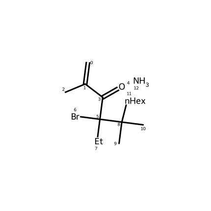 C=C(C)C(=O)C(Br)(CC)C(C)(C)CCCCCC.N